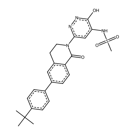 CC(C)(C)c1ccc(-c2ccc3c(c2)CCN(c2cc(NS(C)(=O)=O)c(O)nn2)C3=O)cc1